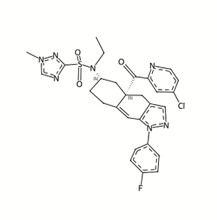 CCN([C@H]1CCC2=Cc3c(cnn3-c3ccc(F)cc3)C[C@]2(C(=O)c2cc(Cl)ccn2)C1)S(=O)(=O)c1ncn(C)n1